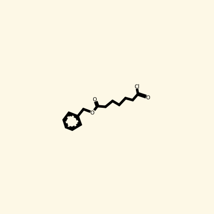 O=C(Cl)CCCCCC(=O)OCc1ccccc1